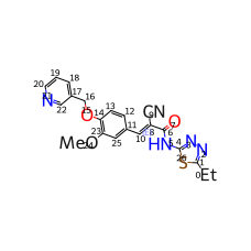 CCc1nnc(NC(=O)/C(C#N)=C/c2ccc(OCc3cccnc3)c(OC)c2)s1